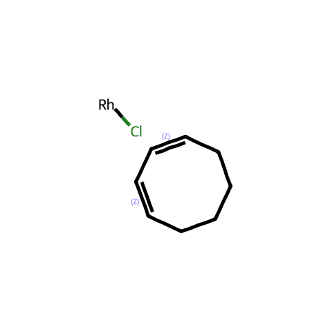 C1=C\CCCC\C=C/1.[Cl][Rh]